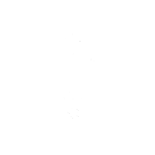 CCCc1c(OCCCCOc2ccc(-c3nn[nH]n3)c(Cl)c2)ccc(C(C)=O)c1O